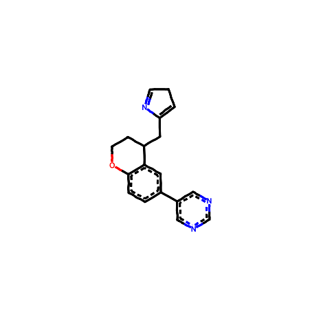 C1=NC(CC2CCOc3ccc(-c4cncnc4)cc32)=CC1